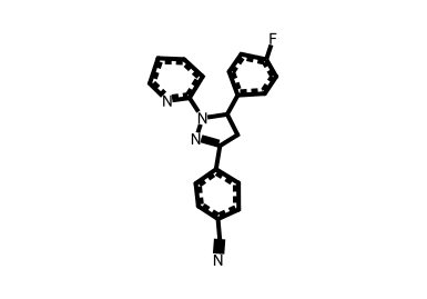 N#Cc1ccc(C2=NN(c3ccccn3)C(c3ccc(F)cc3)C2)cc1